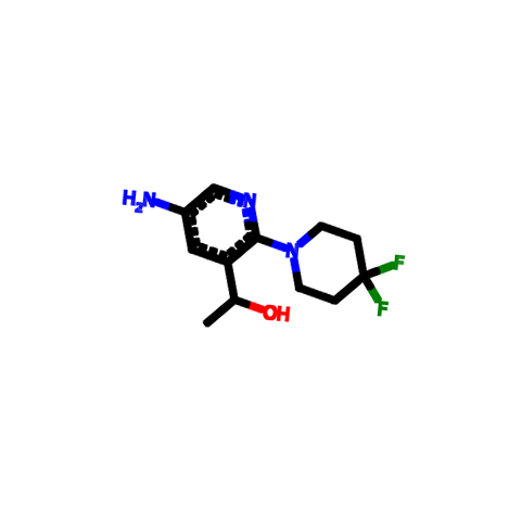 CC(O)c1cc(N)cnc1N1CCC(F)(F)CC1